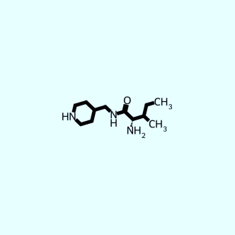 CCC(C)[C@H](N)C(=O)NCC1CCNCC1